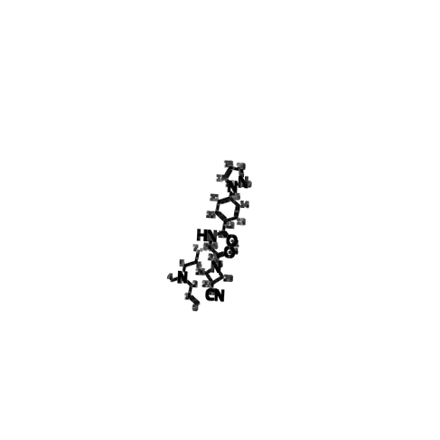 C=CCN(C)CCC[C@H](NC(=O)c1ccc(-n2cccn2)cc1)C(=O)N1CC(C#N)C1